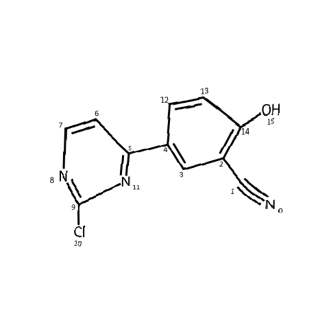 N#Cc1cc(-c2ccnc(Cl)n2)ccc1O